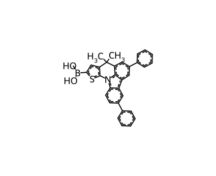 CC1(C)c2cc(B(O)O)sc2-n2c3ccc(-c4ccccc4)cc3c3cc(-c4ccccc4)cc1c32